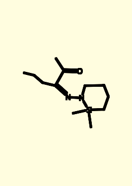 CCCC(=NN1CCCC[Si]1(C)C)C(C)=O